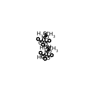 CN(C)C(=O)CN1CC(C(=O)c2ccccc2)C(c2cccc(O)c2)C(C(=O)c2ccccc2)C1.CN(C)C(=O)CN1CC(C(=O)c2ccccc2)C(c2ccccc2O)C(C(=O)c2ccccc2)C1